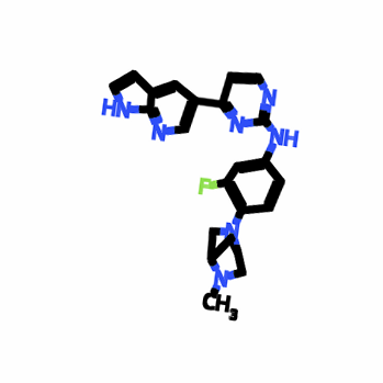 CN1CC2CC1CN2c1ccc(Nc2nccc(-c3cnc4[nH]ccc4c3)n2)cc1F